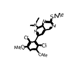 COc1cc(OC)c(Cl)c(-c2cc3cnc(SC)nc3c(N(C)C)n2)c1Cl